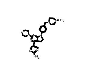 CN1CCN(Cc2ccc(N3CCc4c(-c5cnc(N)nc5)nc(N5CCOCC5)nc43)cc2)CC1